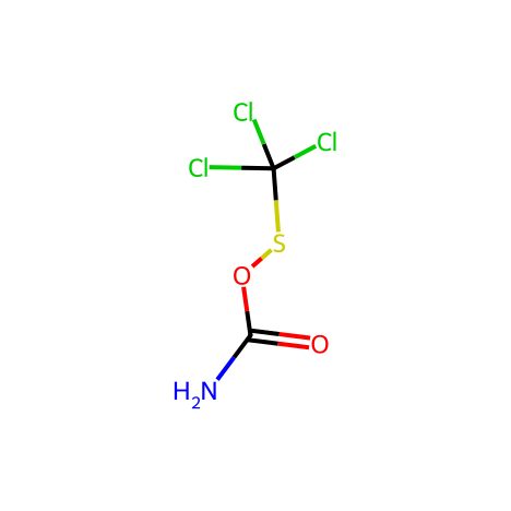 NC(=O)OSC(Cl)(Cl)Cl